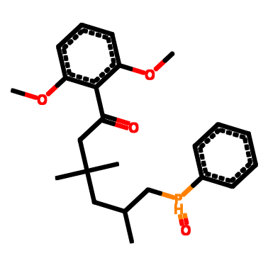 COc1cccc(OC)c1C(=O)CC(C)(C)CC(C)C[PH](=O)c1ccccc1